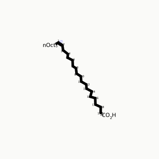 CCCCCCCC/C=C\CCCCCCCCCCCCCCCCCC(=O)O